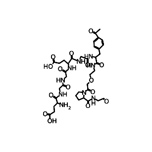 CC(=O)c1ccc(CC(NC(=O)CNC(=O)C(CCC(=O)O)NC(=O)CNC(=O)CNC(=O)C(N)CCC(=O)O)C(=O)NCCOCC(=O)N2CCCC2C(=O)NCC=O)cc1